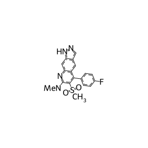 CNc1nc2cc3[nH]ncc3cc2c(-c2ccc(F)cc2)c1S(C)(=O)=O